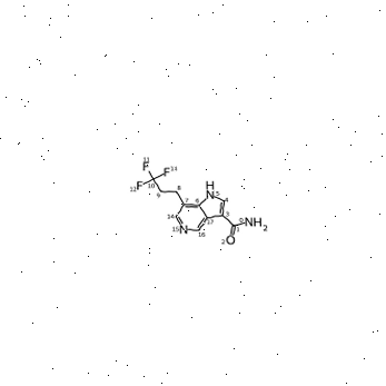 NC(=O)c1c[nH]c2c(CCC(F)(F)F)cncc12